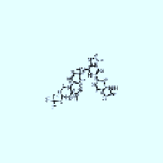 FC(F)(F)CN1CCN2c3ccc(Nc4nc(-c5ccc6cn[nH]c6c5)cn5ccnc45)cc3OC[C@H]2C1